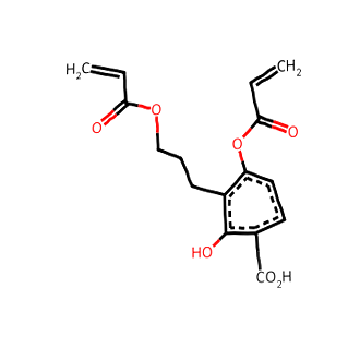 C=CC(=O)OCCCc1c(OC(=O)C=C)ccc(C(=O)O)c1O